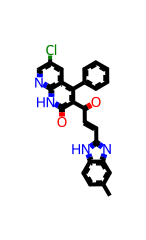 Cc1ccc2[nH]c(/C=C/C(=O)c3c(-c4ccccc4)c4cc(Cl)cnc4[nH]c3=O)nc2c1